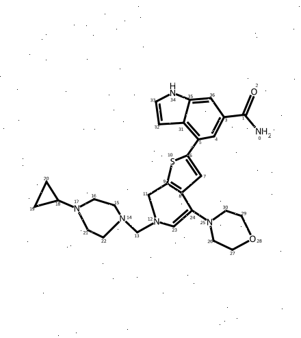 NC(=O)c1cc(-c2cc3c(s2)CN(CN2CCN(C4CC4)CC2)C=C3N2CCOCC2)c2cc[nH]c2c1